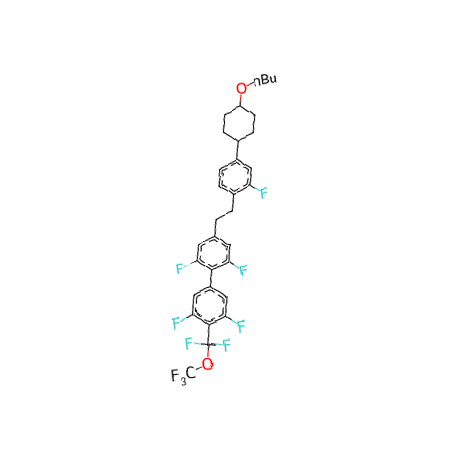 CCCCOC1CCC(c2ccc(CCc3cc(F)c(-c4cc(F)c(C(F)(F)OC(F)(F)F)c(F)c4)c(F)c3)c(F)c2)CC1